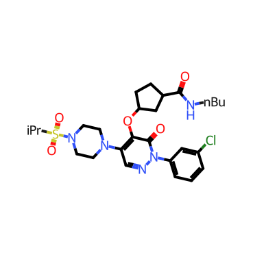 CCCCNC(=O)C1CCC(Oc2c(N3CCN(S(=O)(=O)C(C)C)CC3)cnn(-c3cccc(Cl)c3)c2=O)C1